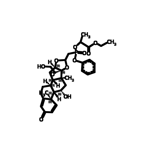 CCOC(=O)C(C)OP(=O)(CC1O[C@@H]2C[C@H]3[C@@H]4CCC5=CC(=O)C=C[C@]5(C)[C@H]4[C@@H](O)C[C@]3(C)[C@]2(C(=O)CO)O1)Oc1ccccc1